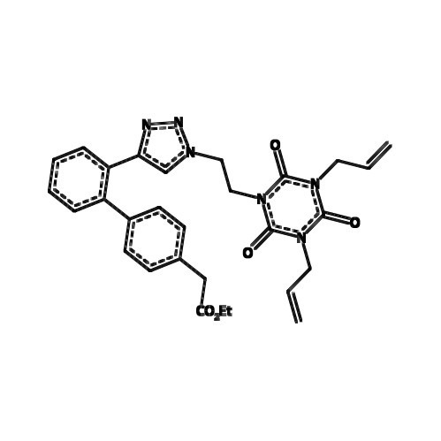 C=CCn1c(=O)n(CC=C)c(=O)n(CCn2cc(-c3ccccc3-c3ccc(CC(=O)OCC)cc3)nn2)c1=O